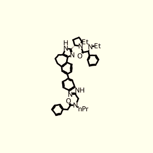 CCCN(Cc1nc2ccc(-c3ccc4c(c3)CCCc3[nH]c([C@@H]5CCCN5C(=O)[C@@H](c5ccccc5)N(CC)CC)nc3-4)cc2[nH]1)C(=O)Cc1ccccc1